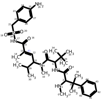 CNC(C(=O)NC(C(=O)N(C)C(/C=C(\C)C(=O)NS(=O)(=O)Cc1ccc(N)cc1)C(C)C)C(C)(C)C)C(C)(C)c1ccccc1